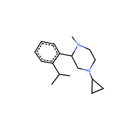 CC(C)c1ccccc1C1CN(C2CC2)CCN1C